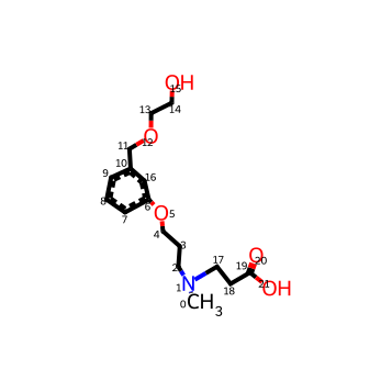 CN(CCCOc1cccc(COCCO)c1)CCC(=O)O